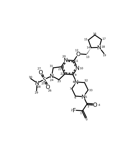 C=C(F)C(=O)N1CCN(c2nc(OC[C@@H]3CCCN3C)nc3c2CN(S(=O)(=O)N(C)C)C3)CC1